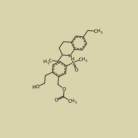 CCc1ccc2c(c1)CCC(CC)N2[SH](C)(=O)c1ccc(CCO)c(COC(C)=O)c1